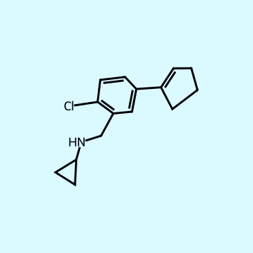 Clc1ccc(C2=CCCC2)cc1CNC1CC1